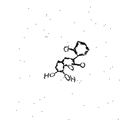 O=c1oc2c(O)c(O)ccc2cc1-c1ccccc1Cl